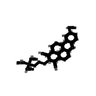 COc1ccc2oc3ccc4c(=O)n(CCC[Si](OC)(OC)OC)c(=O)c5ccc(c2c1)c3c45